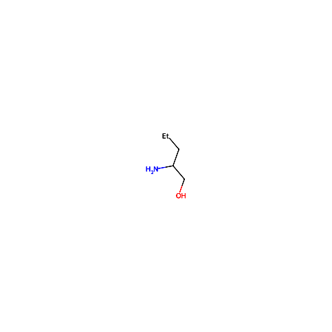 CCCC(N)CO